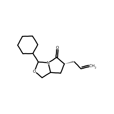 C=CC[C@@H]1CC2COC(C3CCCCC3)N2C1=O